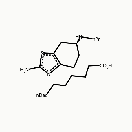 CCCCCCCCCCCCCCCC(=O)O.CCCN[C@H]1CCc2nc(N)sc2C1